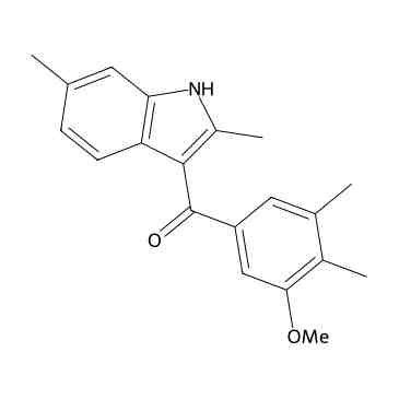 COc1cc(C(=O)c2c(C)[nH]c3cc(C)ccc23)cc(C)c1C